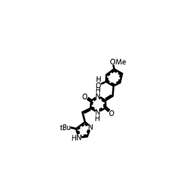 COc1ccc(/C=c2\[nH]c(=O)/c(=C/c3nc[nH]c3C(C)(C)C)[nH]c2=O)c(O)c1